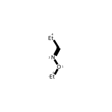 C[CH]O/N=C/CC